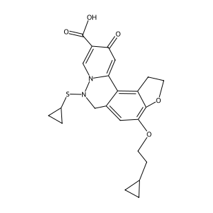 O=C(O)c1cn2c(cc1=O)-c1c(cc(OCCC3CC3)c3c1CCO3)CN2SC1CC1